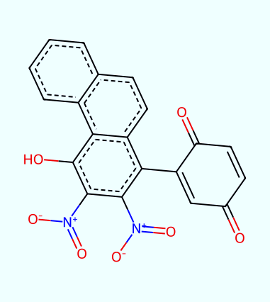 O=C1C=CC(=O)C(c2c([N+](=O)[O-])c([N+](=O)[O-])c(O)c3c2ccc2ccccc23)=C1